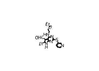 CCOCCNc1nc(Sc2cccnc2)nc2[nH]c(CC)c(C=O)c12